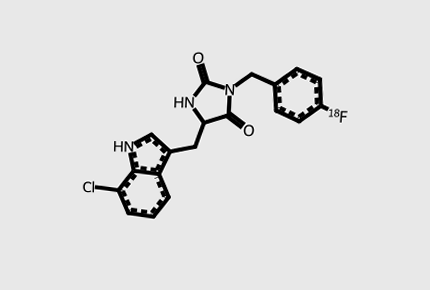 O=C1NC(Cc2c[nH]c3c(Cl)cccc23)C(=O)N1Cc1ccc([18F])cc1